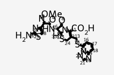 CO/N=C(\C(=O)N[C@@H]1C(=O)N2C(C(=O)O)=C(CSc3cccc4ncnn34)CS[C@@H]12)c1csc(N)n1